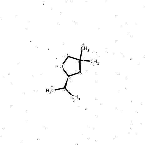 CC(C)[C@@H]1CC(C)(C)CO1